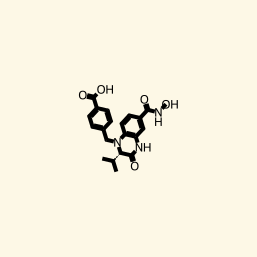 CC(C)[C@H]1C(=O)Nc2cc(C(=O)NO)ccc2N1Cc1ccc(C(=O)O)cc1